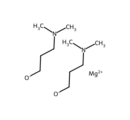 CN(C)CCC[O-].CN(C)CCC[O-].[Mg+2]